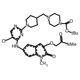 CNC(=O)COc1cc2cc(Nc3nc(N4CCC(CN5CCN(C(=O)OC(C)(C)C)CC5)CC4)ncc3Cl)ccc2n(C)c1=O